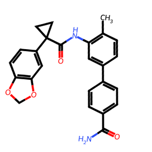 Cc1ccc(-c2ccc(C(N)=O)cc2)cc1NC(=O)C1(c2ccc3c(c2)OCO3)CC1